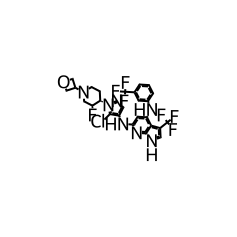 F[C@H]1CN(C2COC2)CC[C@@H]1n1ncc(Nc2cc(Nc3cccc(C(F)(F)F)c3)c3c(C(F)(F)F)c[nH]c3n2)c1Cl